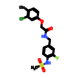 CC(C)(C)c1ccc(OCC(=O)NCc2ccc(NS(C)(=O)=O)c(F)c2)cc1Cl